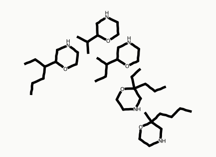 CC(C)C1CNCCO1.CCC(C)C1CNCCO1.CCCC(CC)C1CNCCO1.CCCC1(CC)CNCCO1.CCCCC1(C)CNCCO1